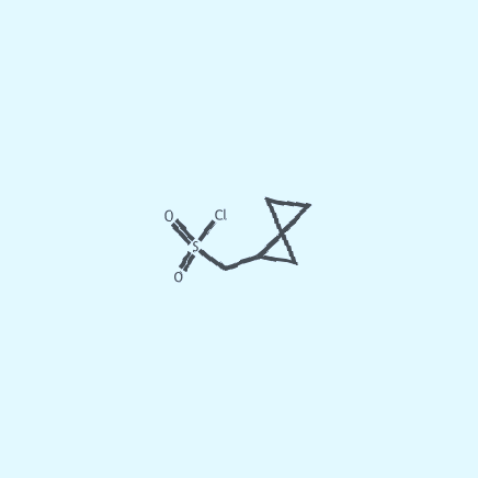 O=S(=O)(Cl)CC1CC12CC2